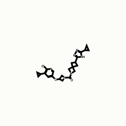 O=C(N1CC(Oc2cnc(Cl)c(C3CC3)c2)C1)N1CC2(CC(c3nnc(C4CC4)[nH]3)C2)C1